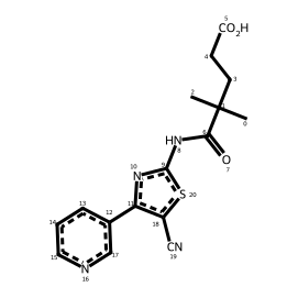 CC(C)(CCC(=O)O)C(=O)Nc1nc(-c2cccnc2)c(C#N)s1